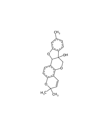 Cc1ccc2c(c1)OC1c3ccc4c(c3OCC21O)C=CC(C)(C)O4